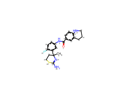 CC1(c2cc(NC(=O)c3ccc4c(c3)CCCN4)ccc2F)CCSC(N)=N1